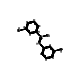 [O-][N+](=Nc1cccc(Br)c1)c1cccc(Br)c1